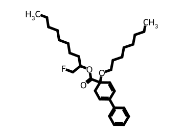 CCCCCCCCOC1(C(=O)OC(CF)CCCCCCCC)C=CC(c2ccccc2)=CC1